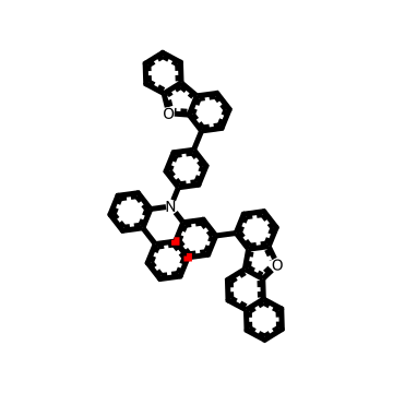 c1ccc(-c2ccccc2N(c2ccc(-c3cccc4c3oc3ccccc34)cc2)c2cccc(-c3cccc4oc5c6ccccc6ccc5c34)c2)cc1